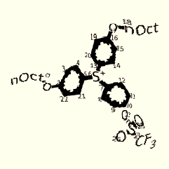 CCCCCCCCOc1ccc([S+](c2ccccc2)c2ccc(OCCCCCCCC)cc2)cc1.O=S(=O)([O-])C(F)(F)F